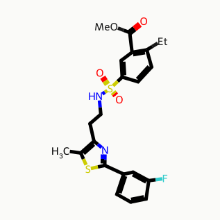 CCc1ccc(S(=O)(=O)NCCc2nc(-c3cccc(F)c3)sc2C)cc1C(=O)OC